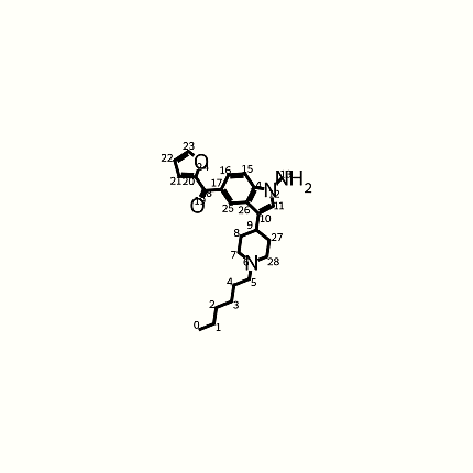 CCCCCCN1CCC(c2cn(N)c3ccc(C(=O)c4ccco4)cc23)CC1